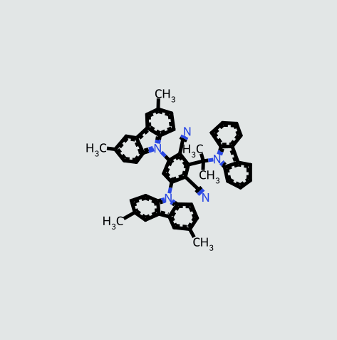 Cc1ccc2c(c1)c1cc(C)ccc1n2-c1cc(-n2c3ccc(C)cc3c3cc(C)ccc32)c(C#N)c(C(C)(C)n2c3ccccc3c3ccccc32)c1C#N